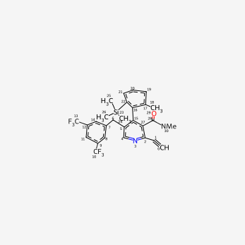 C#Cc1ncc(Cc2cc(C(F)(F)F)cc(C(F)(F)F)c2)c(-c2c(C)cccc2[Si](C)(C)C)c1C(=O)NC